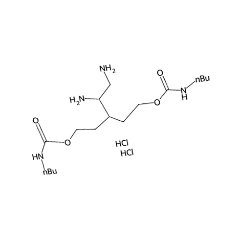 CCCCNC(=O)OCCC(CCOC(=O)NCCCC)C(N)CN.Cl.Cl